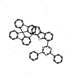 c1ccc(-c2nc(-c3ccccc3)nc(-c3cccc4c3oc3c(-c5cccc6c5C5(c7ccccc7-c7ccccc75)c5ccccc5-6)cccc34)n2)cc1